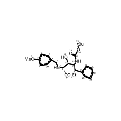 CCOC(=O)[C@H](NCc1ccc(OC)cc1)[C@@H](O)[C@H](Cc1ccccc1)NC(=O)OC(C)(C)C